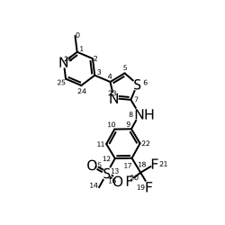 Cc1cc(-c2csc(Nc3ccc(S(C)(=O)=O)c(C(F)(F)F)c3)n2)ccn1